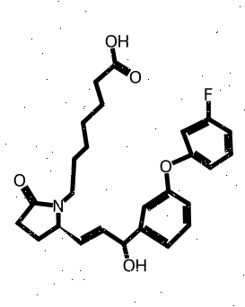 O=C(O)CCCCCCN1C(=O)CC[C@@H]1C=CC(O)c1cccc(Oc2cccc(F)c2)c1